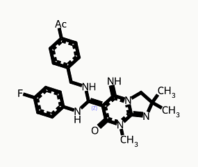 CC(=O)c1ccc(CN/C(Nc2ccc(F)cc2)=c2/c(=O)n(C)c3n(c2=N)CC(C)(C)N=3)cc1